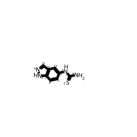 NC(=S)Nc1ccc2[nH]ncc2c1